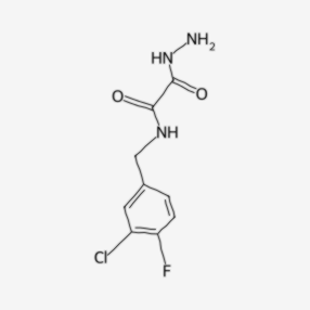 NNC(=O)C(=O)NCc1ccc(F)c(Cl)c1